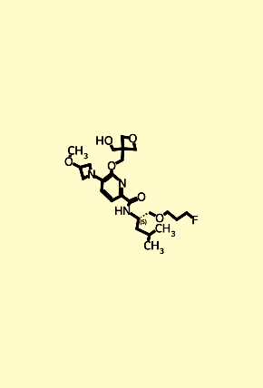 COC1CN(c2ccc(C(=O)N[C@H](COCCCF)CC(C)C)nc2OCC2(CO)COC2)C1